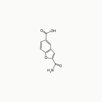 NC(=O)c1cc2cc(C(=O)O)ccc2o1